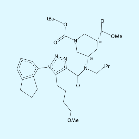 COCCCCc1c(C(=O)N(CC(C)C)[C@H]2C[C@@H](C(=O)OC)CN(C(=O)OC(C)(C)C)C2)nnn1-c1cccc2c1CCC2